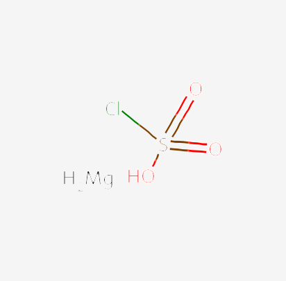 O=S(=O)(O)Cl.[MgH2]